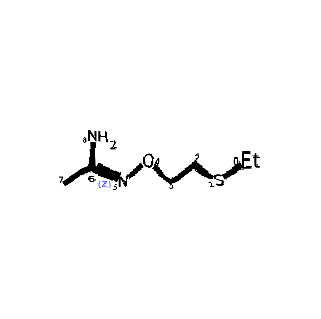 CCSCCO/N=C(/C)N